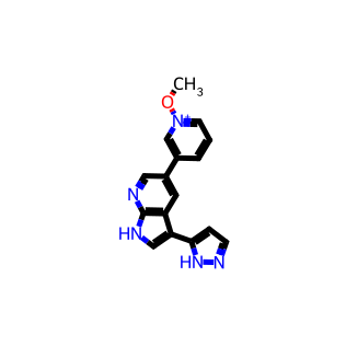 CO[n+]1cccc(-c2cnc3[nH]cc(-c4ccn[nH]4)c3c2)c1